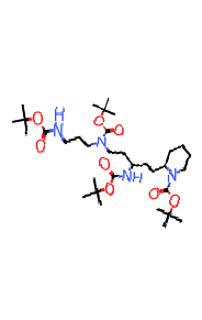 CC(C)(C)OC(=O)NCCCN(CCC(CCC1CCCCN1C(=O)OC(C)(C)C)NC(=O)OC(C)(C)C)C(=O)OC(C)(C)C